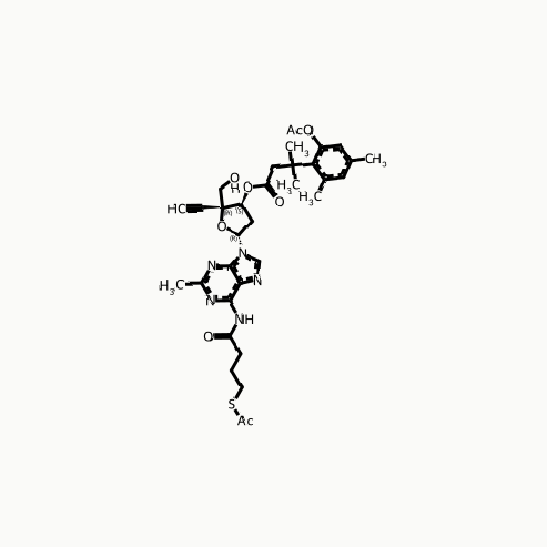 C#C[C@]1(CO)O[C@@H](n2cnc3c(NC(=O)CCCSC(C)=O)nc(C)nc32)C[C@@H]1OC(=O)CC(C)(C)c1c(C)cc(C)cc1OC(C)=O